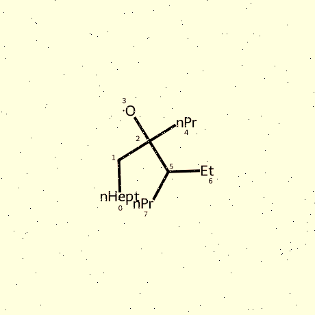 CCCCCCCCC([O])(CCC)C(CC)CCC